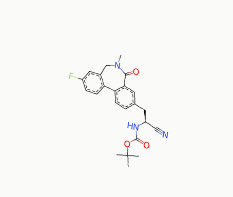 CN1Cc2cc(F)ccc2-c2ccc(C[C@@H](C#N)NC(=O)OC(C)(C)C)cc2C1=O